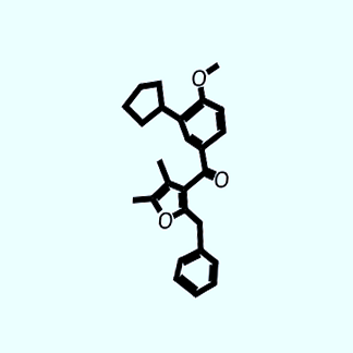 COc1ccc(C(=O)c2c(Cc3ccccc3)oc(C)c2C)cc1C1CCCC1